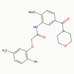 COc1ccc(C(=O)N2CCOCC2)cc1NC(=O)COc1cc(C)ccc1C(C)C